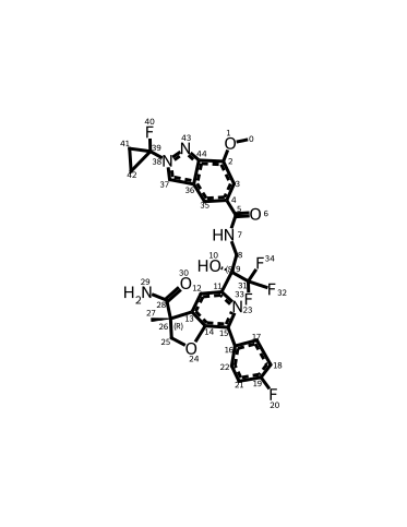 COc1cc(C(=O)NC[C@](O)(c2cc3c(c(-c4ccc(F)cc4)n2)OC[C@]3(C)C(N)=O)C(F)(F)F)cc2cn(C3(F)CC3)nc12